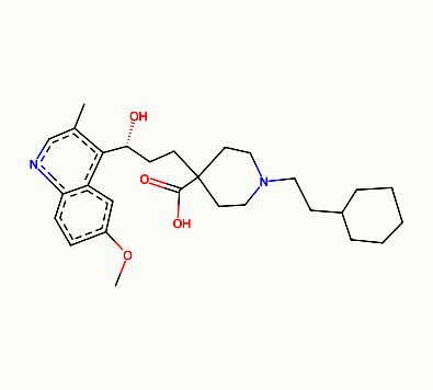 COc1ccc2ncc(C)c([C@H](O)CCC3(C(=O)O)CCN(CCC4CCCCC4)CC3)c2c1